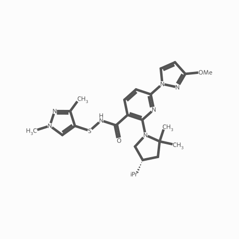 COc1ccn(-c2ccc(C(=O)NSc3cn(C)nc3C)c(N3C[C@@H](C(C)C)CC3(C)C)n2)n1